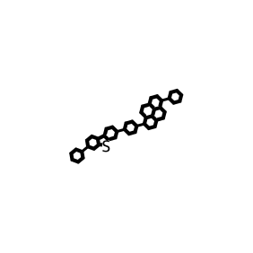 c1ccc(-c2ccc3c(c2)sc2cc(-c4ccc(-c5ccc6ccc7c(-c8ccccc8)ccc8ccc5c6c87)cc4)ccc23)cc1